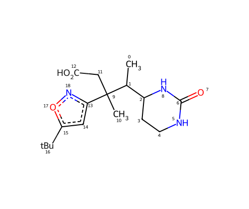 CC(C1CCNC(=O)N1)C(C)(CC(=O)O)c1cc(C(C)(C)C)on1